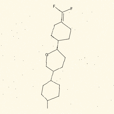 CC1CCC(C2CCC(C3CCC(=C(F)F)CC3)OC2)CC1